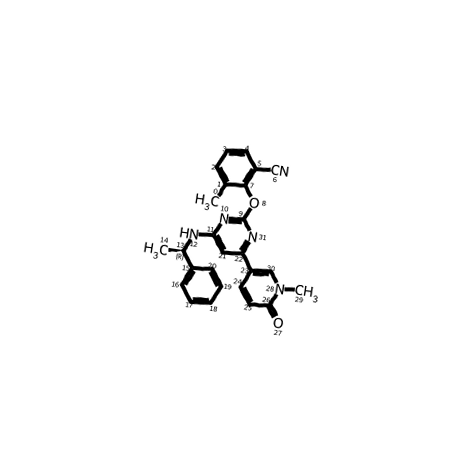 Cc1cccc(C#N)c1Oc1nc(N[C@H](C)c2ccccc2)cc(-c2ccc(=O)n(C)c2)n1